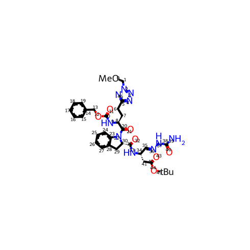 COCn1nnc(CC[C@H](NC(=O)OCc2ccccc2)C(=O)N2c3ccccc3C[C@H]2C(=O)N[C@H](/C=N/NC(N)=O)CC(=O)OC(C)(C)C)n1